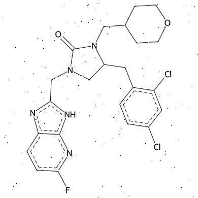 O=C1N(Cc2nc3ccc(F)nc3[nH]2)CC(Cc2ccc(Cl)cc2Cl)N1CC1CCOCC1